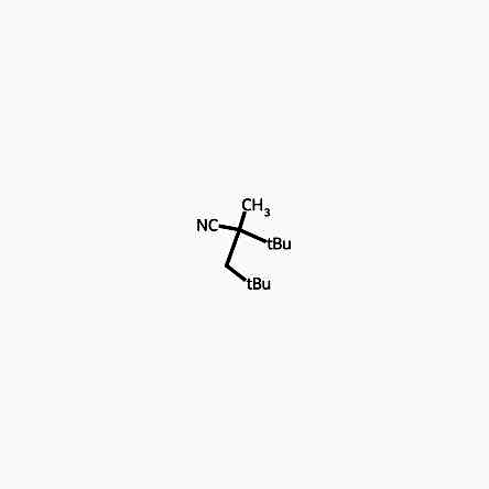 CC(C)(C)CC(C)(C#N)C(C)(C)C